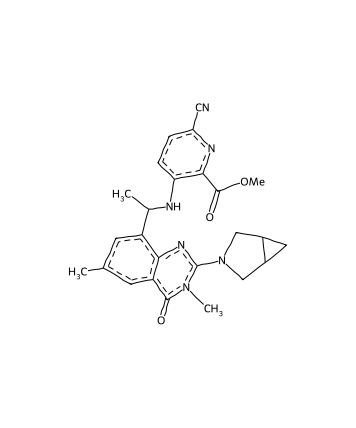 COC(=O)c1nc(C#N)ccc1NC(C)c1cc(C)cc2c(=O)n(C)c(N3CC4CC4C3)nc12